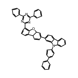 C1=CC2c3cccc(-c4nc(-c5ccccc5)nc(-c5ccccc5)n4)c3OC2C=C1c1ccc2c3ccccc3n(-c3ccc(-c4ccccc4)cc3)c2c1